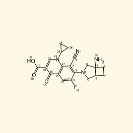 N#Cc1c(N2CC3CCC3(N)C2)c(F)cc2c(=O)c(C(=O)O)cn(C3CC3)c12